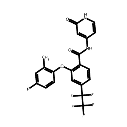 Cc1cc(F)ccc1Oc1cc(C(F)(F)C(F)(F)F)ccc1C(=O)Nc1cc[nH]c(=O)c1